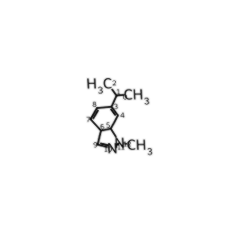 CC(C)C1=CC2C(C=C1)C=NN2C